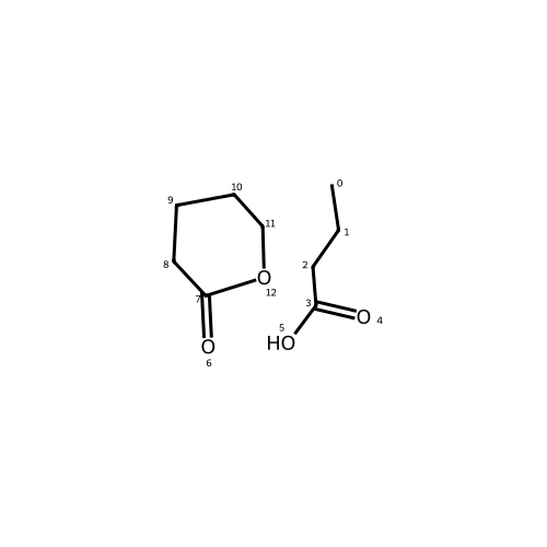 CCCC(=O)O.O=C1CCCCO1